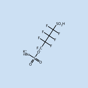 CCCCS(=O)(=O)[O-].O=S(=O)(O)C(F)(F)C(F)(F)C(F)(F)C(F)(F)F.[K+]